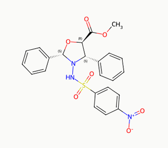 COC(=O)[C@@H]1O[C@@H](c2ccccc2)N(NS(=O)(=O)c2ccc([N+](=O)[O-])cc2)[C@H]1c1ccccc1